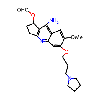 COc1cc2c(N)c3c(nc2cc1OCCCN1CCCC1)CCC3OC=O